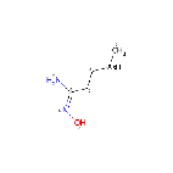 C[AsH]CC/C(N)=N\O